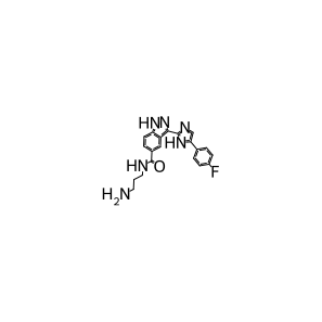 NCCCNC(=O)c1ccc2[nH]nc(-c3ncc(-c4ccc(F)cc4)[nH]3)c2c1